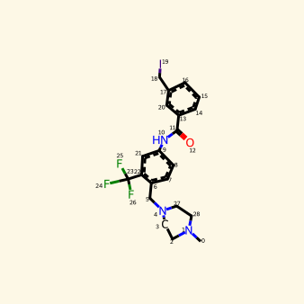 CN1CCN(Cc2ccc(NC(=O)c3cccc(CI)c3)cc2C(F)(F)F)CC1